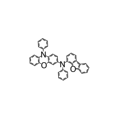 c1ccc(N2c3ccccc3Oc3cc(N(c4ccccc4)c4cccc5c4oc4ccccc45)ccc32)cc1